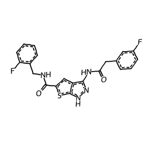 O=C(Cc1cccc(F)c1)Nc1n[nH]c2sc(C(=O)NCc3ccccc3F)cc12